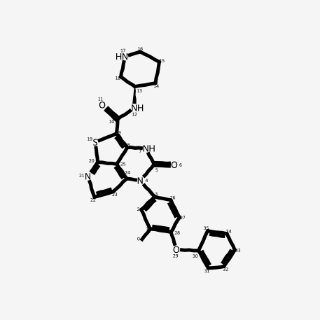 Cc1cc(N2C(=O)Nc3c(C(=O)N[C@@H]4CCCNC4)sc4nccc2c34)ccc1Oc1ccccc1